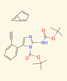 C#Cc1ccccc1-c1cnc(NC(=O)OC(C)(C)C)n1C(=O)OC(C)(C)C.c1cc2cc-2c1